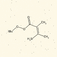 CC([SiH3])=C(C)C(=O)OOC(C)(C)C